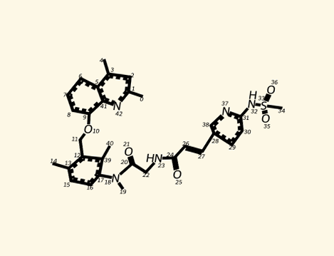 Cc1cc(C)c2cccc(OCc3c(C)ccc(N(C)C(=O)CNC(=O)C=Cc4ccc(NS(C)(=O)=O)nc4)c3C)c2n1